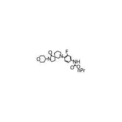 CCCOC(=O)Nc1ccc(N2CCC[C@]3(CCN(C4CCOCC4)C3=O)C2)c(F)c1